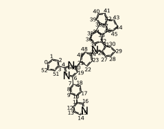 c1ccc(-c2nc(-c3ccc(-c4cccnc4)cc3)cc(-c3ccc(-n4c5ccccc5c5c6c(ccc54)-c4cccc5cccc-6c45)cc3)n2)cc1